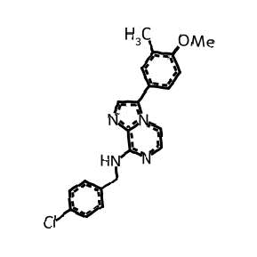 COc1ccc(-c2cnc3c(NCc4ccc(Cl)cc4)nccn23)cc1C